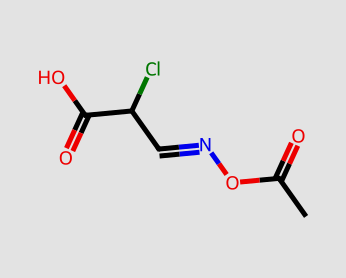 CC(=O)ON=CC(Cl)C(=O)O